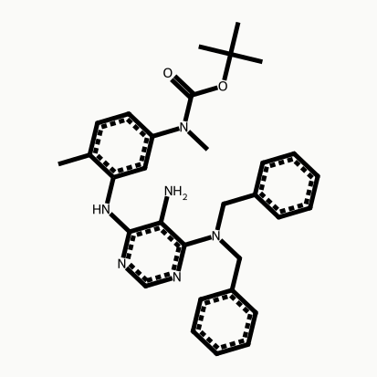 Cc1ccc(N(C)C(=O)OC(C)(C)C)cc1Nc1ncnc(N(Cc2ccccc2)Cc2ccccc2)c1N